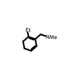 CCC1=C(CNC)C=CCC1